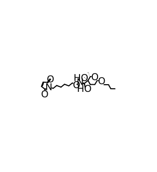 CCCCO[C@H]1C[C@@H](O)[C@@](O)(/C(C)=N/OCCCCCCN2C(=O)C=CC2=O)[C@H](C)O1